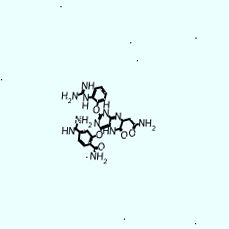 N=C(N)Nc1ccccc1OC1=NC(Oc2cc(C(=N)N)ccc2C(N)=O)=C2NC(=O)C(CC(N)=O)N=C2N1